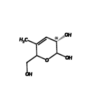 CC1=C[C@H](O)C(O)OC1CO